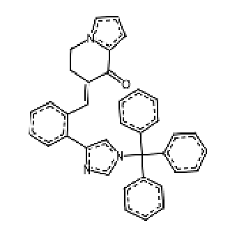 O=C1/C(=C/c2ccccc2-c2cn(C(c3ccccc3)(c3ccccc3)c3ccccc3)cn2)CCn2cccc21